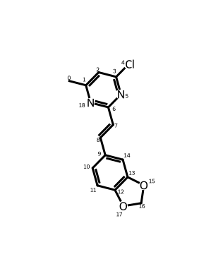 Cc1cc(Cl)nc(C=Cc2ccc3c(c2)OCO3)n1